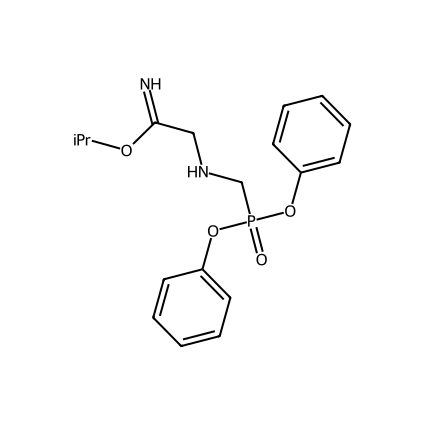 CC(C)OC(=N)CNCP(=O)(Oc1ccccc1)Oc1ccccc1